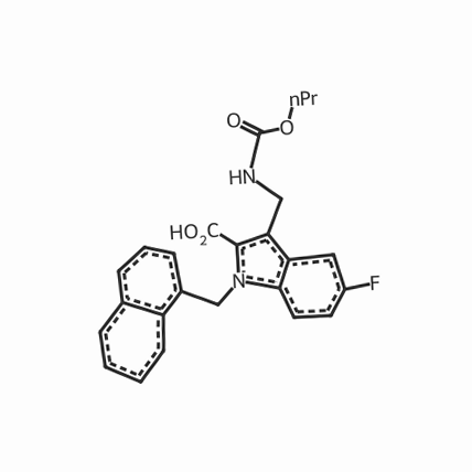 CCCOC(=O)NCc1c(C(=O)O)n(Cc2cccc3ccccc23)c2ccc(F)cc12